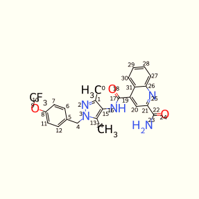 Cc1nn(Cc2ccc(OC(F)(F)F)cc2)c(C)c1NC(=O)c1cc(C(N)=O)nc2ccccc12